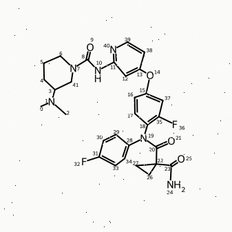 CN(C)C1CCCN(C(=O)Nc2cc(Oc3ccc(N(C(=O)C4(C(N)=O)CC4)c4ccc(F)cc4)c(F)c3)ccn2)C1